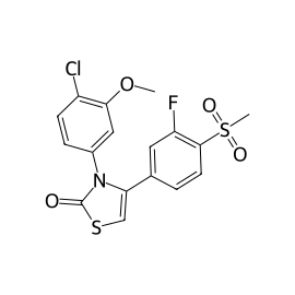 COc1cc(-n2c(-c3ccc(S(C)(=O)=O)c(F)c3)csc2=O)ccc1Cl